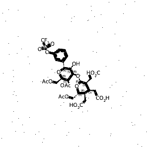 CC(=O)OC[C@@H]1O[C@H](O[C@@H]2[C@@H](O)[C@@H](c3cccc(OS(=O)(=O)C(F)(F)F)c3)O[C@H](COC(C)=O)[C@@H]2OC(C)=O)[C@@H](CC(=O)O)[C@@H](CC(=O)O)[C@H]1CC(=O)O